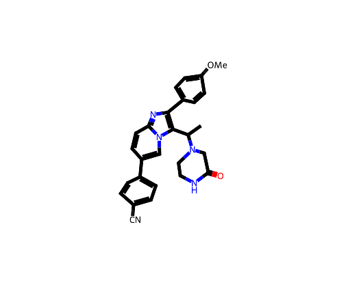 COc1ccc(-c2nc3ccc(-c4ccc(C#N)cc4)cn3c2C(C)N2CCNC(=O)C2)cc1